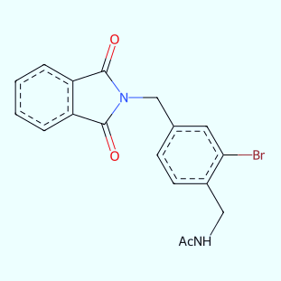 CC(=O)NCc1ccc(CN2C(=O)c3ccccc3C2=O)cc1Br